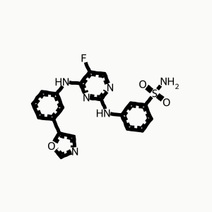 NS(=O)(=O)c1cccc(Nc2ncc(F)c(Nc3cccc(-c4cnco4)c3)n2)c1